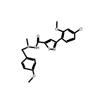 COc1ccc(CN(C)NC(=O)c2cc(-c3ccc(Cl)cc3OC)ns2)cc1